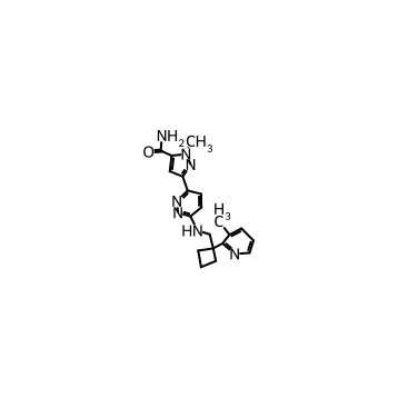 Cc1cccnc1C1(CNc2ccc(-c3cc(C(N)=O)n(C)n3)nn2)CCC1